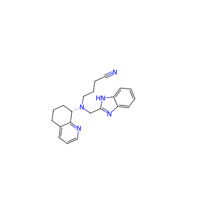 N#CCCCN(Cc1nc2ccccc2[nH]1)[C@H]1CCCc2cccnc21